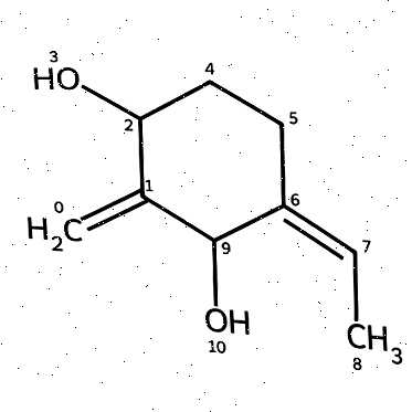 C=C1C(O)CCC(=CC)C1O